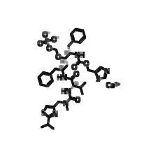 CC(C)c1nc(CN(C)C(=O)N[C@H](C(=O)N[C@@H](Cc2ccccc2)C[C@H](OCOP(=O)([O-])[O-])[C@H](Cc2ccccc2)NC(=O)OCc2cncs2)C(C)C)cs1.[Ca+2]